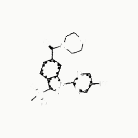 CS(=O)(=O)c1nn(-c2ncc(Br)cn2)c2cc(C(=O)N3CCOCC3)ccc12